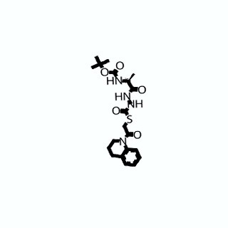 C[C@H](NC(=O)OC(C)(C)C)C(=O)NNC(=O)SCC(=O)N1CCCc2ccccc21